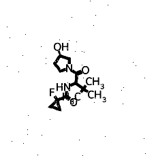 CC(C)(C)C(NC(=O)C1(F)CC1)C(=O)N1CC[C@@H](O)C1